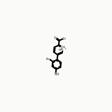 C=C(/C=C\C(=C/CCC)c1ccc(N=O)cc1C(C)=O)C(=O)CC